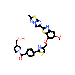 COc1cc(OCc2csc(-c3ccc(C(=O)N4CC[C@@H](CO)C4)cc3)n2)c2sc(-c3cn4nc(C)sc4n3)nc2c1